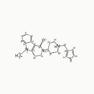 Cn1c2c(c3ccccc31)C(=O)N(C1CCN(Cc3ccsc3)CC1)CC2